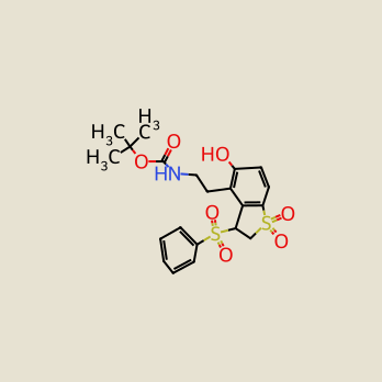 CC(C)(C)OC(=O)NCCc1c(O)ccc2c1C(S(=O)(=O)c1ccccc1)CS2(=O)=O